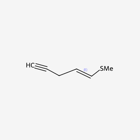 C#CC/C=C/SC